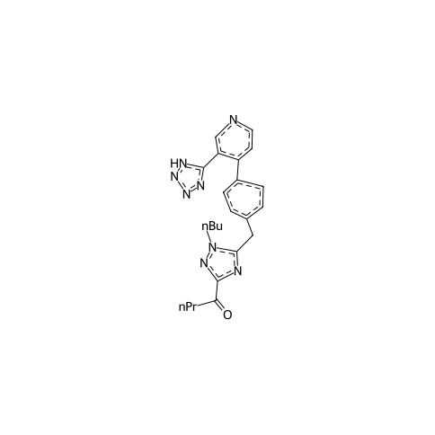 CCCCn1nc(C(=O)CCC)nc1Cc1ccc(-c2ccncc2-c2nnn[nH]2)cc1